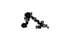 CN(O)C(=O)CCCOCC[C@@H]1[C@H](COCC2CCCC2)[C@@H]2CC[C@H]1O2